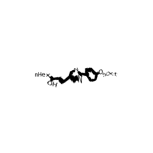 CCCCCCCCOc1ccc(-c2ncc(CCC(O)CCCCCC)cn2)cc1